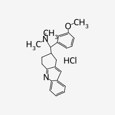 COc1cccc(C(C2CCc3nc4ccccc4cc3C2)N(C)C)c1.Cl